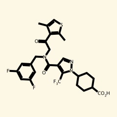 Cc1csc(C)c1C(=O)CN(Cc1cc(F)cc(F)c1)C(=O)c1cnn(C2CCC(C(=O)O)CC2)c1C(F)(F)F